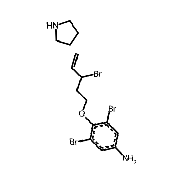 C1CCNC1.C=CC(Br)CCOc1c(Br)cc(N)cc1Br